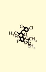 CCc1[nH]c2c(F)ccc(O[C@@H](C)C(=O)OC)c2c(=O)c1Cc1ccc(Cl)cc1Cl